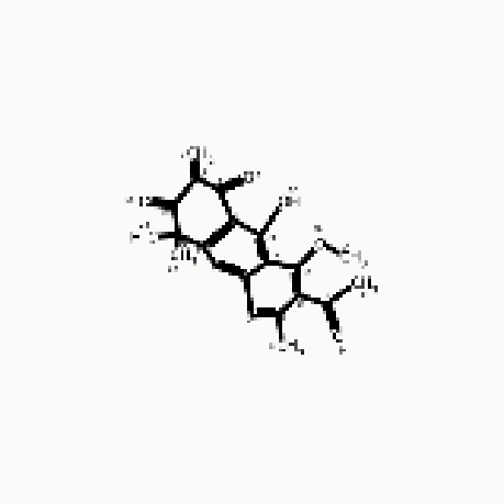 C=C1C(=O)c2c(cc3cc(C)c(C(C)=O)c(OC)c3c2O)C(C)(C)C1=O